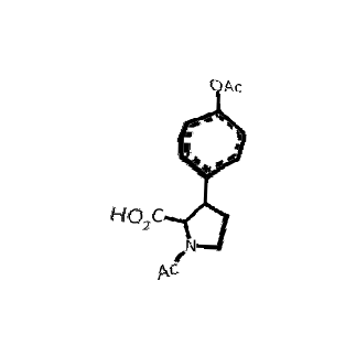 CC(=O)Oc1ccc(C2CCN(C(C)=O)C2C(=O)O)cc1